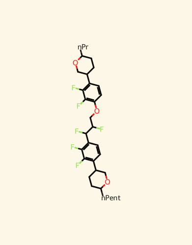 CCCCCC1CCC(c2ccc(C(F)C(F)COc3ccc(C4CCC(CCC)OC4)c(F)c3F)c(F)c2F)CO1